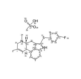 CC1=C[C@@H]2c3cccc4[nH]c(Sc5ccc(F)cc5)c(c34)C[C@H]2N(C)C1.CS(=O)(=O)O